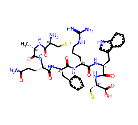 C[C@H](NC(=O)[C@@H](N)CS)C(=O)N[C@@H](CCC(N)=O)C(=O)N[C@H](Cc1ccccc1)C(=O)N[C@@H](CCCNC(=N)N)C(=O)N[C@@H](Cc1c[nH]c2ccccc12)C(=O)N[C@@H](CS)C(=O)O